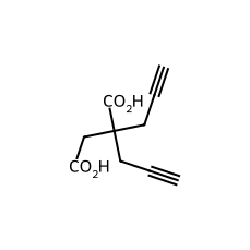 C#CCC(CC#C)(CC(=O)O)C(=O)O